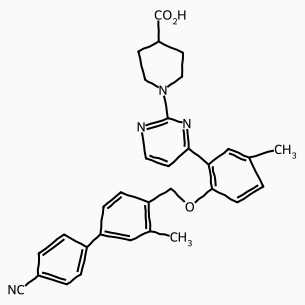 Cc1ccc(OCc2ccc(-c3ccc(C#N)cc3)cc2C)c(-c2ccnc(N3CCC(C(=O)O)CC3)n2)c1